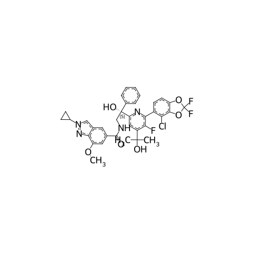 COc1cc(C(=O)NC[C@@](O)(c2ccccc2)c2cc(C(C)(C)O)c(F)c(-c3ccc4c(c3Cl)OC(F)(F)O4)n2)cc2cn(C3CC3)nc12